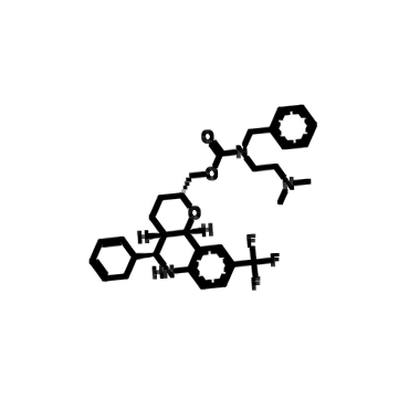 CN(C)CCN(Cc1ccccc1)C(=O)OC[C@H]1CC[C@@H]2[C@H](O1)c1cc(C(F)(F)F)ccc1N[C@H]2C1C=CC=CC1